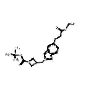 CCOC(=O)COc1ccc2nn(CC3CN(C(=O)OC(C)(C)C)C3)cc2c1